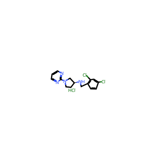 Cl.Clc1ccc(CN[C@H]2CCN(c3ncccn3)C2)c(Cl)c1